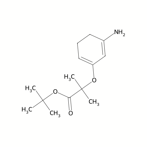 CC(C)(C)OC(=O)C(C)(C)OC1=CCCC(N)=C1